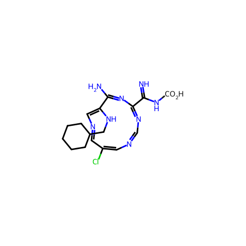 N=C(NC(=O)O)C1=N/C=N\C=C(Cl)/C=N/C=C(NCC2CCCCC2)/C(N)=N\1